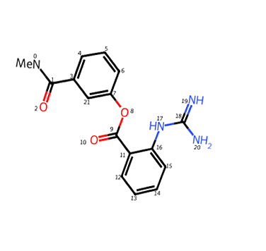 CNC(=O)c1cccc(OC(=O)c2ccccc2NC(=N)N)c1